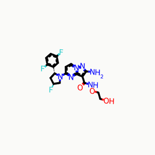 Nc1nn2ccc(N3C[C@@H](F)C[C@@H]3c3cc(F)ccc3F)nc2c1C(=O)NOCCO